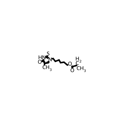 C=C(C)C(=O)OCCCCCCn1cc(C)c(=O)[nH]c1=S